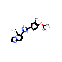 Cc1c(-c2noc(-c3ccc(OC(C)C(F)(F)F)c(C(F)(F)F)c3)n2)ccc2nccn12